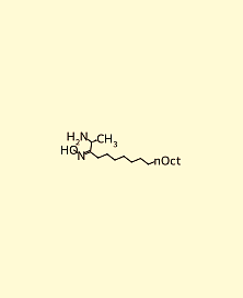 CCCCCCCCCCCCCCC/C(=N/O)[C@H](C)N